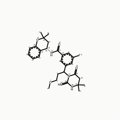 COCCC(c1cc(F)cc(C(=O)N[C@H]2CC(C)(C)Oc3ccccc32)c1)N1C(=N)NC(C)(C)CC1=O